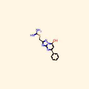 N=C(N)SCc1nc2nc(-c3ccccc3)cc(O)n2n1